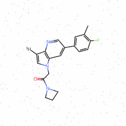 [3H]c1cn(CC(=O)N2CCC2)c2cc(-c3ccc(F)c(C)c3)cnc12